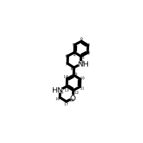 c1ccc2c(c1)CCC(c1ccc3c(c1)NCCO3)N2